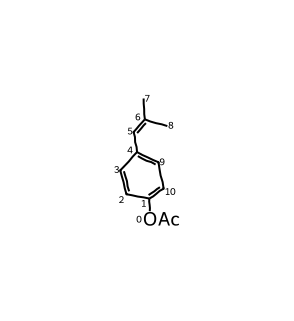 CC(=O)Oc1ccc(C=C(C)C)cc1